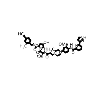 C#Cc1ccc(CNC(=O)[C@@H]2C[C@@H](O)CN2C(=O)[C@@H](NC(=O)CCN2CCN(c3ccc(NC(=O)c4cccc(-c5cc[nH]n5)n4)c(OC)c3)C[C@H]2C)C(C)(C)C)c(C)c1